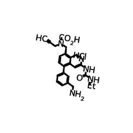 C#CCN(Cc1ccc(-c2cccc(CN)c2)c2cc(NC(=O)NCC)ncc12)C(=O)O.Cl